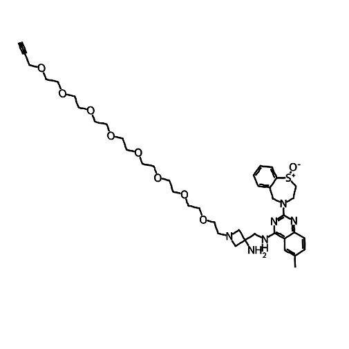 C#CCOCCOCCOCCOCCOCCOCCOCCOCCN1CC(N)(CNc2nc(N3CC[S+]([O-])c4ccccc4C3)nc3ccc(C)cc23)C1